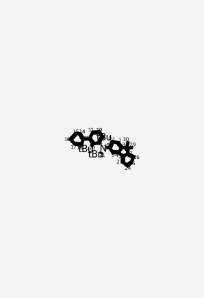 CC(C)(C)c1cc2c(cc1N(c1cccc(-c3ccccc3)c1C(C)(C)C)C(C)(C)C)-c1ccccc1C2(C)C